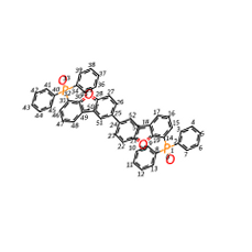 O=P(c1ccccc1)(c1ccccc1)c1cccc2c1oc1ccc(-c3ccc4oc5c(P(=O)(c6ccccc6)c6ccccc6)cccc5c4c3)cc12